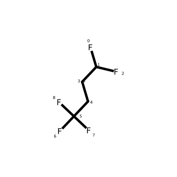 FC(F)[CH]CC(F)(F)F